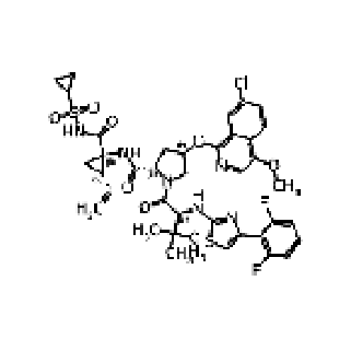 C=C[C@@H]1C[C@]1(NC(=O)[C@@H]1C[C@@H](Oc2ncc(OC)c3ccc(Cl)cc23)CN1C(=O)[C@@H](Nc1nc(-c2c(F)cccc2F)cs1)C(C)(C)C)C(=O)NS(=O)(=O)C1CC1